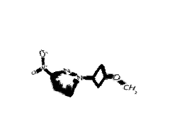 COC1CC(n2ccc([N+](=O)[O-])n2)C1